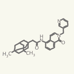 CC12CC3CC(C)(C1)CC(CC(=O)Nc1cccc4c(=O)n(Cc5cccnc5)ccc14)(C3)C2